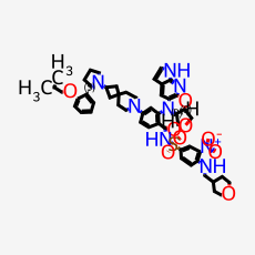 CC(C)COc1ccccc1[C@@H]1CCCN1C1CC2(CCN(c3ccc(C(=O)NS(=O)(=O)c4ccc(NCC5CCOCC5)c([N+](=O)[O-])c4)c(N4c5cc6cc[nH]c6nc5O[C@@H]5COC[C@H]54)c3)CC2)C1